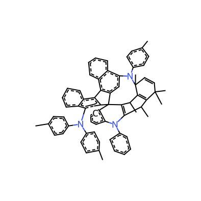 Cc1ccc(N(c2ccc(C)cc2)c2cc3c(c4ccccc24)-c2c4cc(c5ccccc25)N(c2ccc(C)cc2)C2(C)C=CC(C)(C)C5=C2C(C)C2=C(C5C)N(c5ccccc5)c5ccccc5C234)cc1